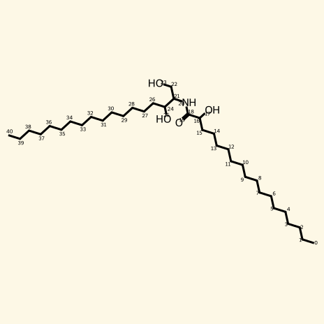 CCCCCCCCCCCCCCCCC(O)C(=O)NC(CO)C(O)CCCCCCCCCCCCCCC